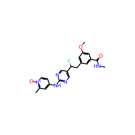 CNC(=O)c1cc(CC(F)c2cnc(Nc3cc[n+]([O-])c(C)c3)nc2)cc(OC)c1